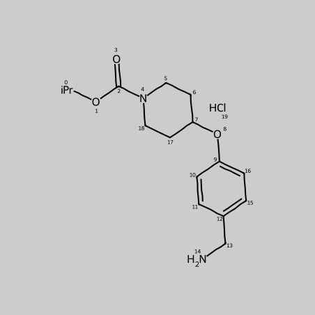 CC(C)OC(=O)N1CCC(Oc2ccc(CN)cc2)CC1.Cl